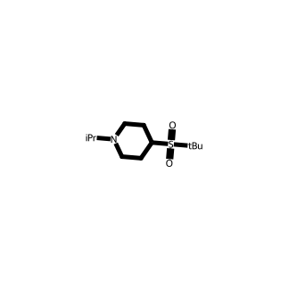 CC(C)N1CCC(S(=O)(=O)C(C)(C)C)CC1